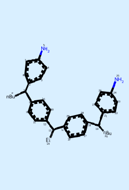 CCCCC(c1ccc(N)cc1)c1ccc(C(CC)c2ccc(C(CCCC)c3ccc(N)cc3)cc2)cc1